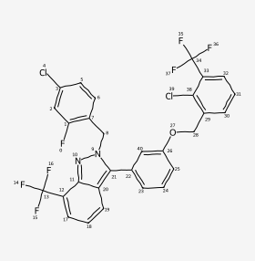 Fc1cc(Cl)ccc1Cn1nc2c(C(F)(F)F)cccc2c1-c1cccc(OCc2cccc(C(F)(F)F)c2Cl)c1